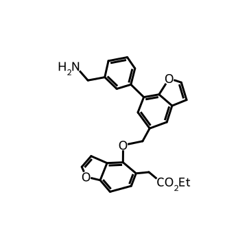 CCOC(=O)Cc1ccc2occc2c1OCc1cc(-c2cccc(CN)c2)c2occc2c1